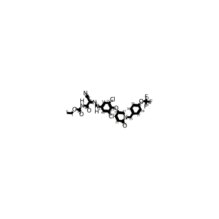 CCOC(=O)NC(=O)C(C#N)=NNc1cc(Cl)c(Oc2ccc(=O)n(Cc3ccc(OC(F)(F)F)cc3)c2)c(Cl)c1